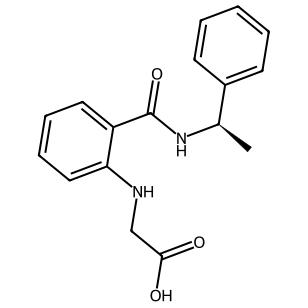 C[C@@H](NC(=O)c1ccccc1NCC(=O)O)c1ccccc1